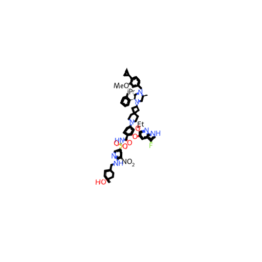 CCOc1nc2[nH]cc(F)c2cc1Oc1cc(N2CCC3(CC2)CC(N2C[C@H](C)N(Cc4ccc(C5CC5)c(OC)c4)C[C@H]2c2ccccc2C(C)C)C3)ccc1C(=O)NS(=O)(=O)c1cnc(NCC2CCC(C)(O)CC2)c([N+](=O)[O-])c1